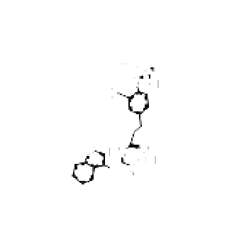 CS(C)(=O)=Nc1ccc(CCC(=O)N[C@@H](Cc2coc3ccccc23)B(O)O)cc1Cl